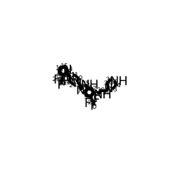 FC(F)(F)c1cc2nc(N3CCN(c4ncccc4C(F)(F)F)CC3)[nH]c2cc1NCCN1CCNCC1